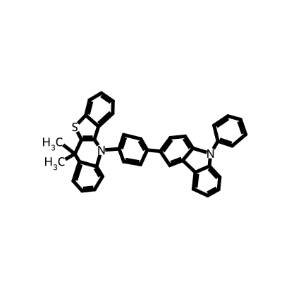 CC1(C)c2ccccc2N(c2ccc(-c3ccc4c(c3)c3ccccc3n4-c3ccccc3)cc2)c2c1sc1ccccc21